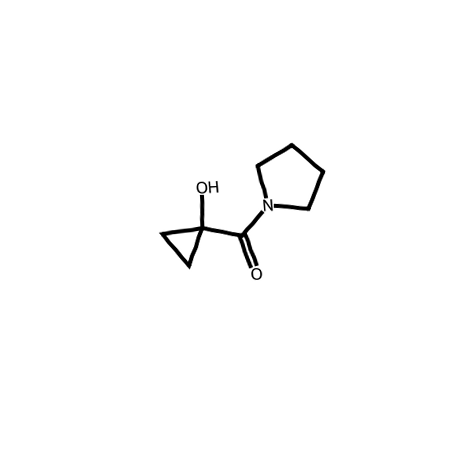 O=C(N1CCCC1)C1(O)CC1